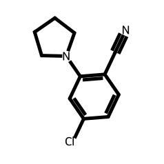 N#Cc1ccc(Cl)cc1N1CCCC1